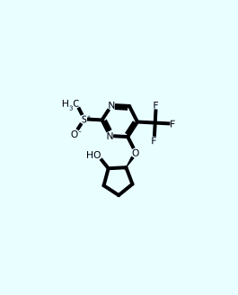 C[S+]([O-])c1ncc(C(F)(F)F)c(O[C@H]2CCCC2O)n1